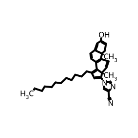 CCCCCCCCCCCCC1=C2C3=C(C=C[C@]2(C)C(n2cnc(C#N)c2)=C1)[C@]1(C)CC=C(O)C=C1C=C3